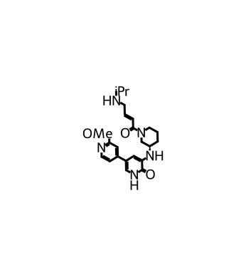 COc1cc(-c2c[nH]c(=O)c(N[C@@H]3CCCN(C(=O)/C=C/CNC(C)C)C3)c2)ccn1